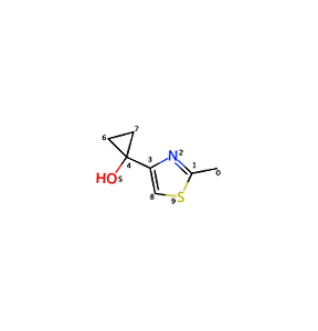 Cc1nc(C2(O)CC2)cs1